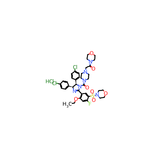 CCOc1cc(F)c(S(=O)(=O)N2CCOCC2)cc1C1=N[C@@H](c2ccc(Cl)cc2)[C@@H](c2ccc(Cl)cc2)N1C(=O)N1CCN(CC(=O)N2CCOCC2)CC1.Cl